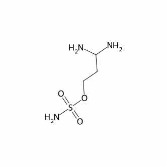 NC(N)CCOS(N)(=O)=O